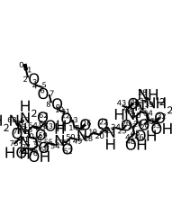 C#CCOCCOCCOCCOCCC(=O)N(CCCC(=O)NCCO[C@@H]([C@@H]1OC(C(=O)O)=C[C@H](N=C(N)N)[C@H]1NC(C)=O)[C@H](O)CO)CCC(=O)NCCO[C@@H]([C@@H]1OC(C(=O)O)=C[C@H](N=C(N)N)[C@H]1NC(C)=O)[C@H](O)CO